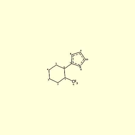 FC(F)(F)C1CCCCC1c1cccs1